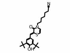 CC(C)(C)c1cc(C=C2SC=CN(CCCCCCC#N)C2=O)cc(C(C)(C)C)c1O